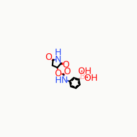 O=C1CC(OC(=O)Nc2cccc(B(O)O)c2)C(=O)N1